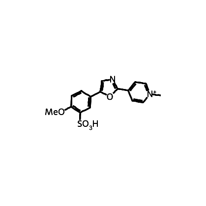 COc1ccc(-c2cnc(-c3cc[n+](C)cc3)o2)cc1S(=O)(=O)O